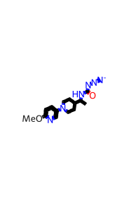 COc1ccc(N2CCC(C(C)NC(=O)N=[N+]=[N-])CC2)cn1